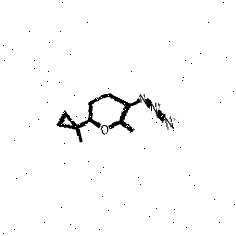 CC1OC(C2(C)CC2)CCC1N=[N+]=[N-]